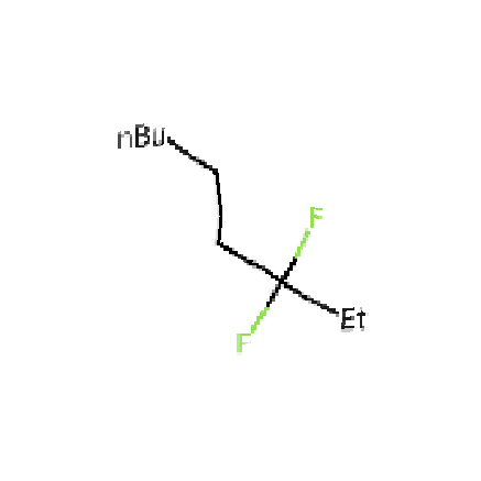 [CH2]CCCCCC(F)(F)CC